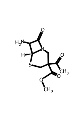 COC(=O)C1(C(C)=O)CS[C@@H]2C(N)C(=O)N2C1